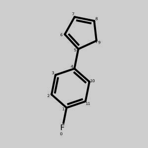 Fc1ccc(C2=CC=C[CH]2)cc1